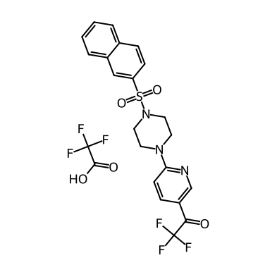 O=C(O)C(F)(F)F.O=C(c1ccc(N2CCN(S(=O)(=O)c3ccc4ccccc4c3)CC2)nc1)C(F)(F)F